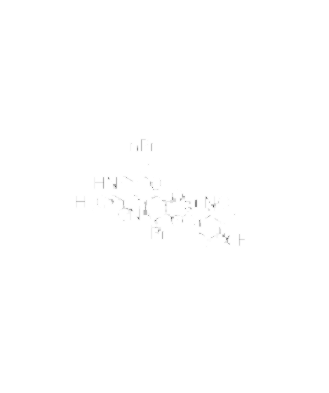 CCCC1CC(=O)C2=C(C1)NC(C)=C(C#N)C2c1cc(Br)c(OCc2ccc(C(F)(F)F)cc2[N+](=O)[O-])c(OCC)c1